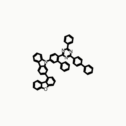 c1ccc(-c2ccc(-c3nc(-c4ccccc4)nc(-c4ccc(-n5c6ccccc6c6ccc(-c7cccc8oc9ccccc9c78)cc65)cc4-c4ccccc4)n3)cc2)cc1